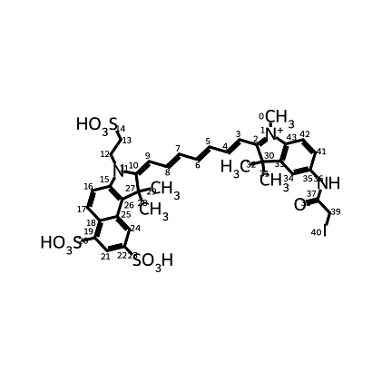 C[N+]1=C(/C=C/C=C/C=C/C=C2/N(CCS(=O)(=O)O)c3ccc4c(S(=O)(=O)O)cc(S(=O)(=O)O)cc4c3C2(C)C)C(C)(C)c2cc(NC(=O)CI)ccc21